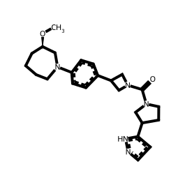 CO[C@@H]1CCCCN(c2ccc(C3CN(C(=O)N4CCC(c5ccn[nH]5)C4)C3)cc2)C1